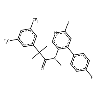 CN(C(=O)C(C)(C)c1cc(C(F)(F)F)cc(C(F)(F)F)c1)c1cnc(I)cc1-c1ccc(F)cc1